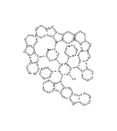 N#Cc1c(-n2c3ccccc3c3cc4oc5ccccc5c4cc32)c(-c2ccccc2)c(-c2nc(-n3c4ccccc4c4oc5ccccc5c43)nc(-n3c4ccccc4c4oc5ccccc5c43)n2)c(-c2ccccc2)c1-n1c2ccccc2c2cc3oc4ccccc4c3cc21